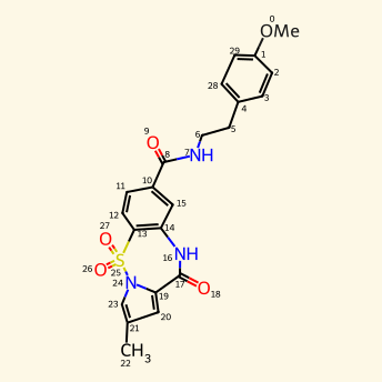 COc1ccc(CCNC(=O)c2ccc3c(c2)NC(=O)c2cc(C)cn2S3(=O)=O)cc1